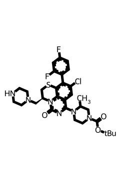 CC1CN(C(=O)OC(C)(C)C)CCN1c1nc(=O)n2c3c(c(-c4ccc(F)cc4F)c(Cl)cc13)SC[C@@H]2CN1CCNCC1